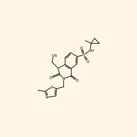 Cc1ncc(Cn2c(=O)c3cc(S(=O)(=O)NC4(C)CC4)ccc3n(CC#N)c2=O)s1